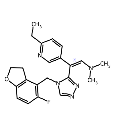 CCc1ccc(/C(=C/N(C)C)c2nncn2Cc2c(F)ccc3c2CCO3)cn1